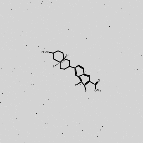 CCCCCCC1CC[C@@H]2CC(c3ccc4cc(C(=O)OC)c(F)c(F)c4c3)CC[C@H]2C1